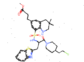 COC(=O)CCc1cc2c(c(S(=O)(=O)NC(Cc3nc4ccccc4s3)C(=O)N3CCC(CCF)CC3)c1)NCC(C)(C)C2